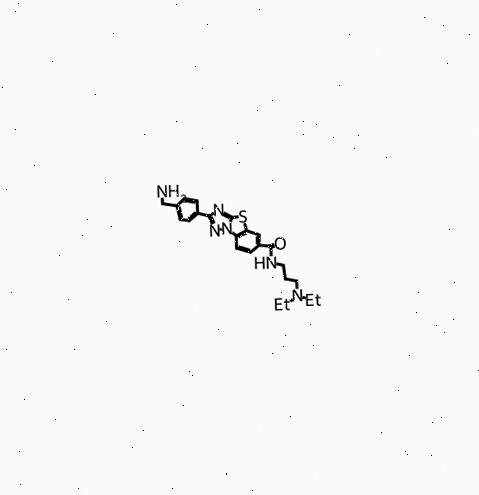 CCN(CC)CCCNC(=O)c1ccc2c(c1)sc1nc(-c3ccc(CN)cc3)nn12